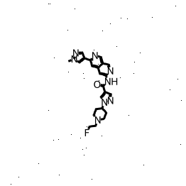 Cn1cc(-c2cc3cc(NC(=O)c4cnn(C5CCN(CCF)CC5)c4)ncc3cn2)cn1